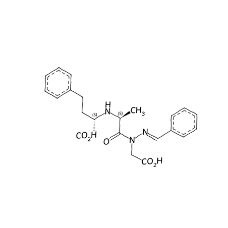 C[C@H](N[C@@H](CCc1ccccc1)C(=O)O)C(=O)N(CC(=O)O)N=Cc1ccccc1